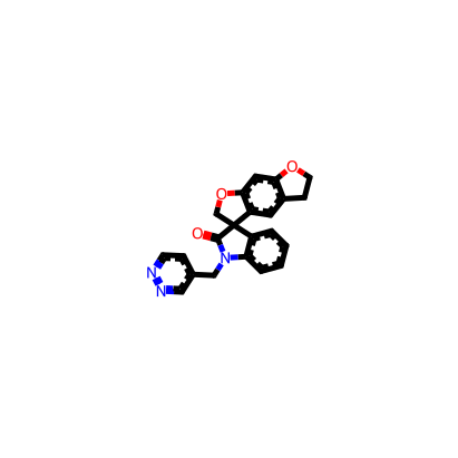 O=C1N(Cc2ccnnc2)c2ccccc2C12COc1cc3c(cc12)CCO3